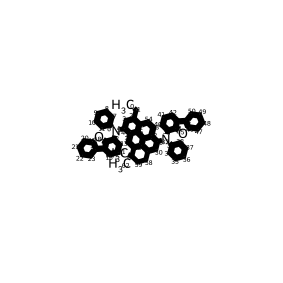 CCc1cc(N(c2ccccc2)c2cccc3c2oc2ccccc23)c2cc3c4c(cc(N(c5ccccc5)c5cccc6c5oc5ccccc56)c5ccc1c2c54)CCC3(C)C